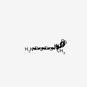 Cc1c(CN2CCS(=O)(=O)CC2)nnn1CCOCCOCCOCCOCCN